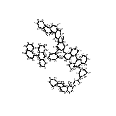 C/C=C(\C=C1/Cc2ccc3ccc4c5ccccc5oc4c3c2O1)c1cccc(-c2c3ccccc3c(-c3cccc4c(-c5cc6oc7cc8ccc9c%10ccccc%10oc9c8cc7c6cc5-c5cccc(-c6c7ccccc7c(-c7cccc8ccccc78)c7ccccc67)c5)cccc34)c3ccccc23)c1